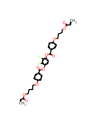 C=CC(=O)OCCCCOc1ccc(C(=O)Oc2ccc(OC(=O)c3ccc(OCCCCOC(=O)C=C)cc3)c(F)c2F)cc1